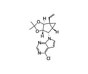 C=C[C@@]12C[C@@H]1[C@H](n1ccc3c(Cl)ncnc31)[C@@H]1OC(C)(C)O[C@H]12